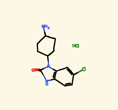 Cl.NC1CCC(n2c(=O)[nH]c3ccc(Cl)cc32)CC1